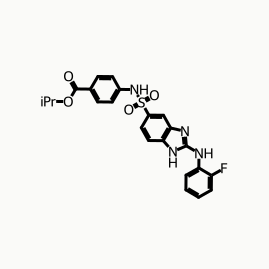 CC(C)OC(=O)c1ccc(NS(=O)(=O)c2ccc3[nH]c(Nc4ccccc4F)nc3c2)cc1